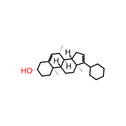 C[C@H]1C=C2C[C@@H](O)CC[C@]2(C)[C@H]2CC[C@]3(C)C(C4CCCCC4)=CC[C@H]3[C@H]12